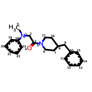 CN(CC(=O)N1CCC(Cc2ccccc2)CC1)c1ccccc1